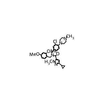 COc1ccc(CN(Cc2ccc(N3CCN(C)CC3)c(Cl)c2)C(=O)c2cc(C3CC3)nn2C)c(OC)c1